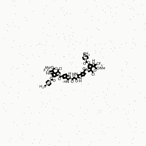 COC(=O)c1c(C(F)(F)F)[nH]c2c(OC(=O)N3CCN(C)CC3)cc3c(c12)C(CCl)CN3C(=O)c1ccc2c(c1)C(=N)[C@@H](C(=O)C(=O)C(=O)[C@H]1Nc3ccc(C(=O)N4CC(CCl)c5c4cc(OC(=O)N4CCN(C)CC4)c4[nH]c(C(F)(F)F)c(C(=O)OC)c54)cc3C1=N)N2